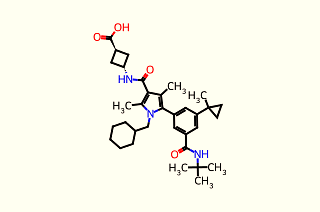 Cc1c(C(=O)N[C@H]2C[C@H](C(=O)O)C2)c(C)n(CC2CCCCC2)c1-c1cc(C(=O)NC(C)(C)C)cc(C2(C)CC2)c1